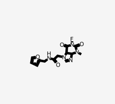 CN1C(=O)N(F)C(=O)C2C1N=CN2CC(=O)NCc1ccco1